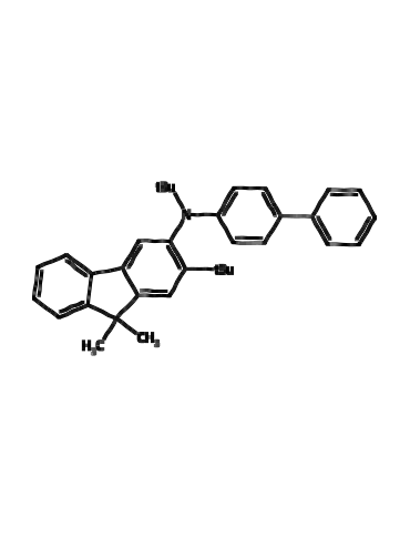 CC(C)(C)c1cc2c(cc1N(c1ccc(-c3ccccc3)cc1)C(C)(C)C)-c1ccccc1C2(C)C